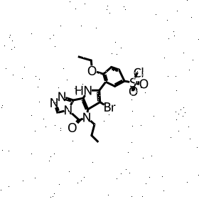 CCCn1c(=O)n2cnnc2c2[nH]c(-c3cc(S(=O)(=O)Cl)ccc3OCC)c(Br)c21